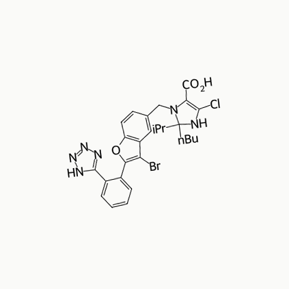 CCCCC1(C(C)C)NC(Cl)=C(C(=O)O)N1Cc1ccc2oc(-c3ccccc3-c3nnn[nH]3)c(Br)c2c1